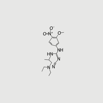 CCN(CC)CC(C)N/C(=N\C#N)Nc1ccc([N+](=O)[O-])c(OC)c1